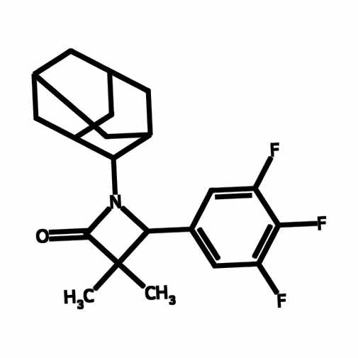 CC1(C)C(=O)N(C2C3CC4CC(C3)CC2C4)C1c1cc(F)c(F)c(F)c1